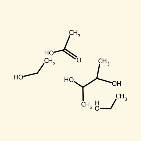 CC(=O)O.CC(O)C(C)O.CCO.CCO